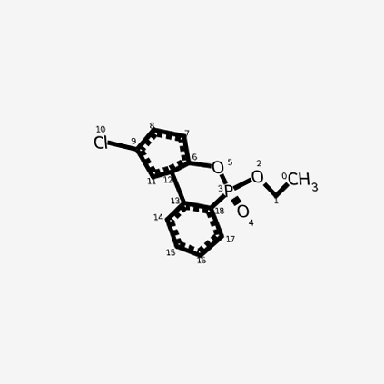 CCOP1(=O)Oc2ccc(Cl)cc2-c2ccccc21